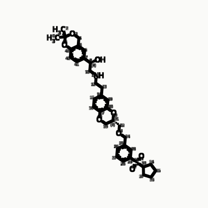 CC1(C)OCc2cc([C@@H](O)CNCCc3ccc4c(c3)O[C@H](COCc3cccc(S(=O)(=O)C5CCCC5)c3)CO4)ccc2O1